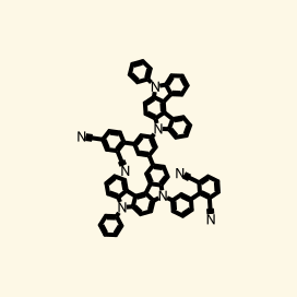 N#Cc1ccc(-c2cc(-c3ccc4c(c3)c3c5c6ccccc6n(-c6ccccc6)c5ccc3n4-c3cccc(-c4c(C#N)cccc4C#N)c3)cc(-n3c4ccccc4c4c5c6ccccc6n(-c6ccccc6)c5ccc43)c2)c(C#N)c1